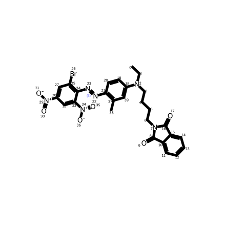 CCN(CCCCN1C(=O)c2ccccc2C1=O)c1ccc(/N=N/c2c(Br)cc([N+](=O)[O-])cc2[N+](=O)[O-])c(C)c1